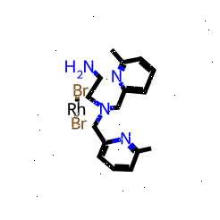 Cc1cccc(CN(CCN)Cc2cccc(C)n2)n1.[Br][Rh][Br]